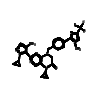 Cc1cnn(C2CC2)c1-c1ncc2c(n1)N(Cc1ccc(-c3nc(C(F)(F)F)cn3C)cc1)CC(=O)N2C1CC1